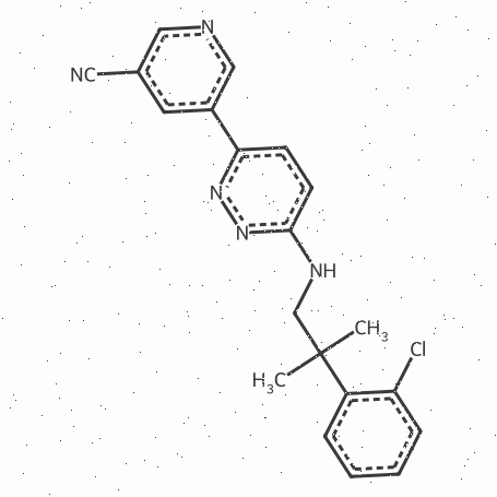 CC(C)(CNc1ccc(-c2cncc(C#N)c2)nn1)c1ccccc1Cl